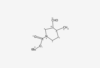 CC1CCN(C(=O)OC(C)(C)C)CC1C=O